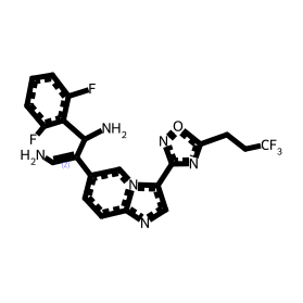 N/C=C(/c1ccc2ncc(-c3noc(CCC(F)(F)F)n3)n2c1)C(N)c1c(F)cccc1F